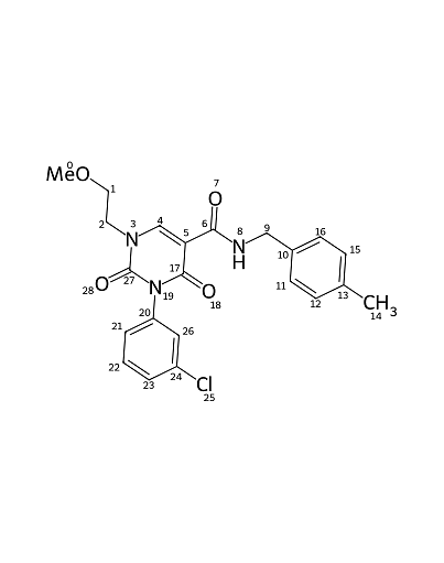 COCCn1cc(C(=O)NCc2ccc(C)cc2)c(=O)n(-c2cccc(Cl)c2)c1=O